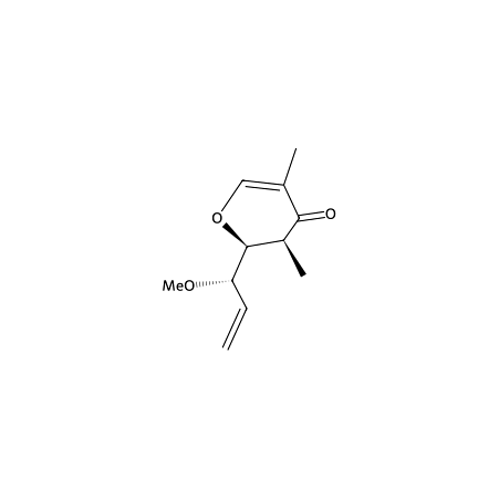 C=C[C@H](OC)[C@H]1OC=C(C)C(=O)[C@H]1C